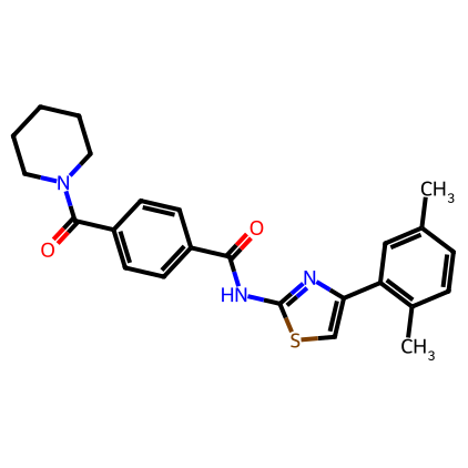 Cc1ccc(C)c(-c2csc(NC(=O)c3ccc(C(=O)N4CCCCC4)cc3)n2)c1